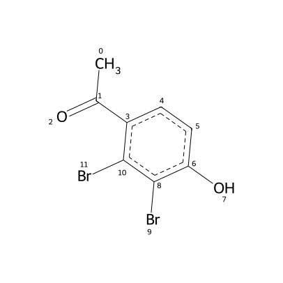 CC(=O)c1ccc(O)c(Br)c1Br